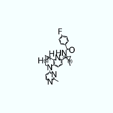 Cc1nccc(N2C[C@H]3C[C@H]3c3nc([C@@]4(NC(=O)c5ccc(F)cc5)C[C@H]4C)ccc32)n1